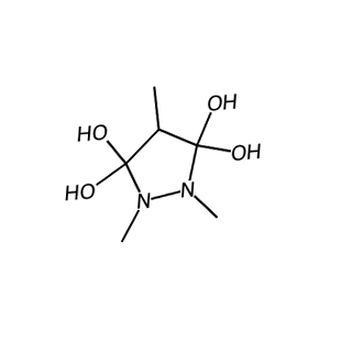 CC1C(O)(O)N(C)N(C)C1(O)O